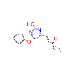 CCOC(=O)C=Cc1cc(Oc2ccccc2)nc(O)n1